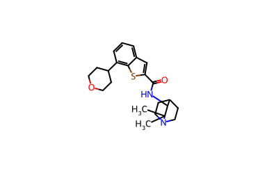 CC1(C)C(NC(=O)c2cc3cccc(C4CCOCC4)c3s2)C2CCN1CC2